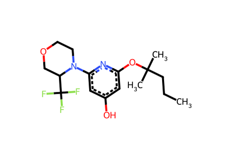 CCCC(C)(C)Oc1cc(O)cc(N2CCOCC2C(F)(F)F)n1